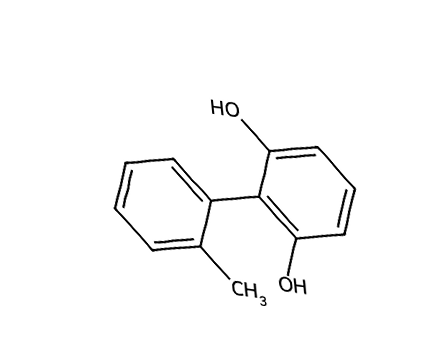 Cc1ccccc1-c1c(O)cccc1O